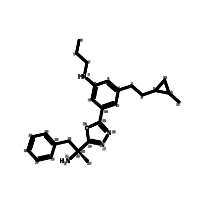 CCCNc1cc(CCC2CC2C)cc(-c2nnc([C@](C)(N)Cc3ccccc3)o2)c1